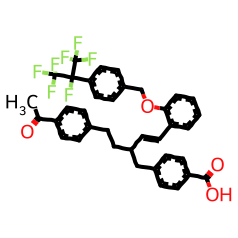 CC(=O)c1ccc(CCC(/C=C/c2ccccc2OCc2ccc(C(F)(C(F)(F)F)C(F)(F)F)cc2)Cc2ccc(C(=O)O)cc2)cc1